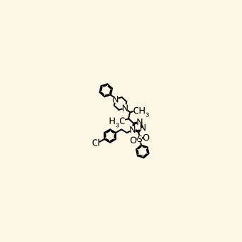 CC(c1nnc(S(=O)(=O)c2ccccc2)n1CCc1ccc(Cl)cc1)C(C)N1CCN(c2ccccc2)CC1